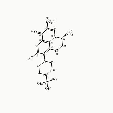 [2H]C([2H])([2H])N1CCN(c2c(F)cc3c(=O)c(C(=O)O)cn4c3c2OC[C@@H]4C)CC1